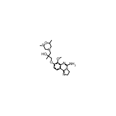 COc1c(OCC(C)(O)CN2CC(C)O[C@H](C)C2)ccc2c1N=C(N)N1CCN=C21